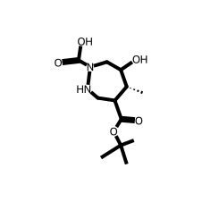 C[C@H]1C(O)CN(C(=O)O)NCC1C(=O)OC(C)(C)C